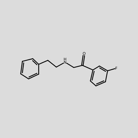 O=C(CNCCc1ccccc1)c1cccc(F)c1